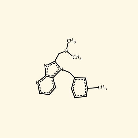 Cc1cccc(Cn2c(CN(C)C)nc3ncccc32)c1